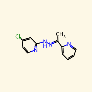 C/C(=N\Nc1cc(Cl)ccn1)c1ccccn1